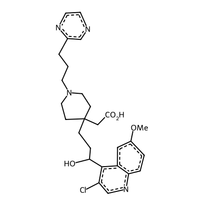 COc1ccc2ncc(Cl)c(C(O)CCC3(CC(=O)O)CCN(CCCc4cnccn4)CC3)c2c1